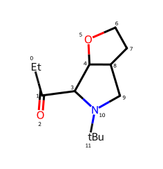 CCC(=O)C1C2OCCC2CN1C(C)(C)C